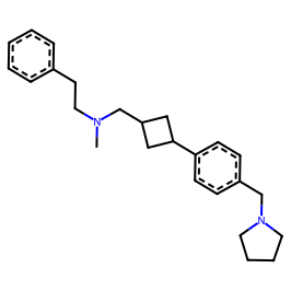 CN(CCc1ccccc1)CC1CC(c2ccc(CN3CCCC3)cc2)C1